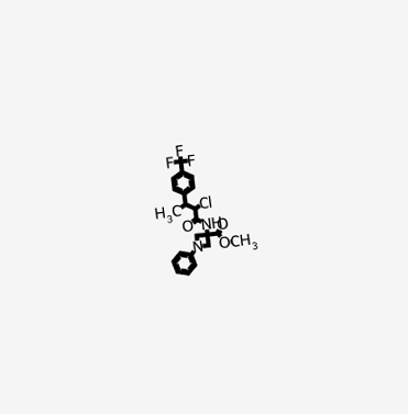 COC(=O)C1(NC(=O)C(Cl)C(C)c2ccc(C(F)(F)F)cc2)CN(c2ccccc2)C1